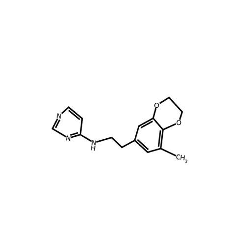 Cc1cc(CCNc2ccncn2)cc2c1OCCO2